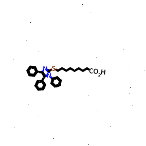 O=C(O)CCCCCCCCSc1nc(-c2ccccc2)c(-c2ccccc2)n1-c1ccccc1